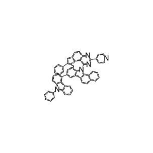 c1ccc(-c2cc3ccc4nc(-c5ccncc5)nc(-n5c6ccc(-c7cccc8c7c7ccccc7n8-c7ccccc7)cc6c6ccc7ccccc7c65)c4c3s2)cc1